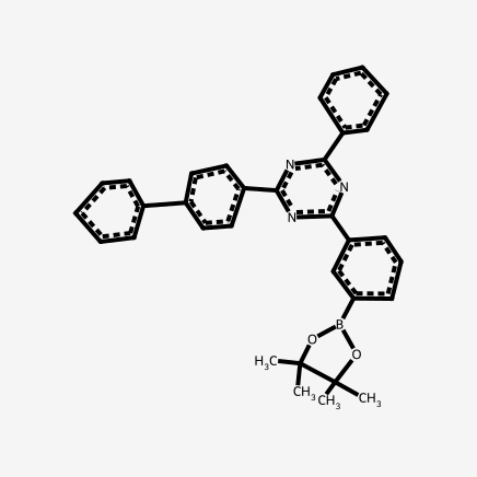 CC1(C)OB(c2cccc(-c3nc(-c4ccccc4)nc(-c4ccc(-c5ccccc5)cc4)n3)c2)OC1(C)C